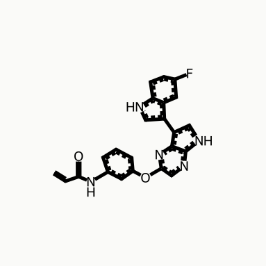 C=CC(=O)Nc1cccc(Oc2cnc3[nH]cc(-c4c[nH]c5ccc(F)cc45)c3n2)c1